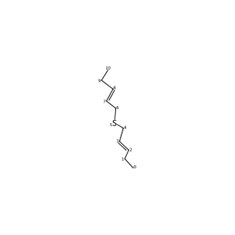 CCC=CCSCC=CCC